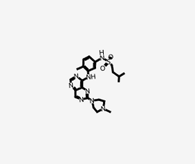 Cc1ccc(NS(=O)(=O)CCC(C)C)cc1Nc1ncnc2cnc(N3CCN(C)CC3)nc12